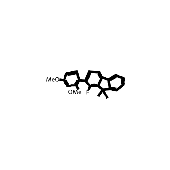 COc1ccc(-c2ccc3c(c2F)C(C)(C)c2ccccc2-3)c(OC)c1